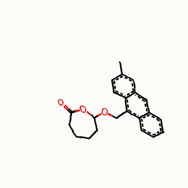 Cc1ccc2c(COC3CCCCC(=O)O3)c3ccccc3cc2c1